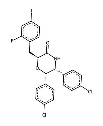 O=C1N[C@H](c2ccc(Cl)cc2)[C@H](c2ccc(Cl)cc2)O[C@H]1Cc1ccc(I)cc1F